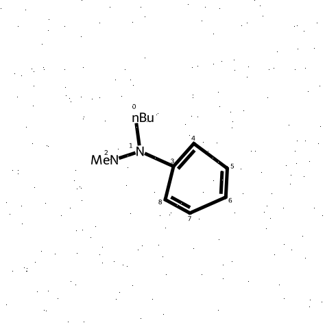 CCCCN(NC)c1ccccc1